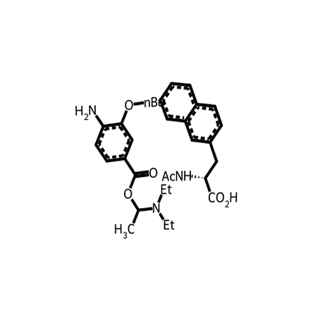 CC(=O)N[C@H](Cc1ccc2ccccc2c1)C(=O)O.CCCCOc1cc(C(=O)OC(C)N(CC)CC)ccc1N